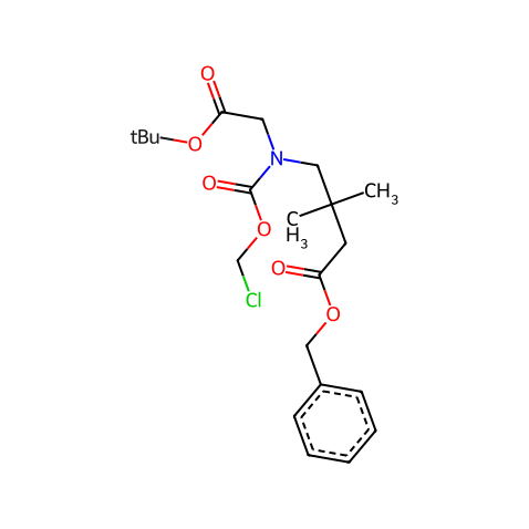 CC(C)(CC(=O)OCc1ccccc1)CN(CC(=O)OC(C)(C)C)C(=O)OCCl